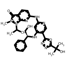 CC(C)n1c2nc(Nc3cc(N[C@H](CO)c4ccccc4)c(-c4nnc(C(C)(C)O)o4)cn3)ccc2c(=O)n1C